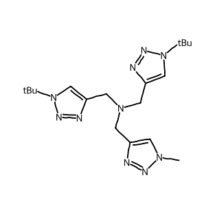 Cn1cc(CN(Cc2cn(C(C)(C)C)nn2)Cc2cn(C(C)(C)C)nn2)nn1